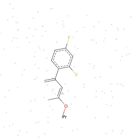 C=C(/C=C(\C)OC(C)C)c1ccc(F)cc1F